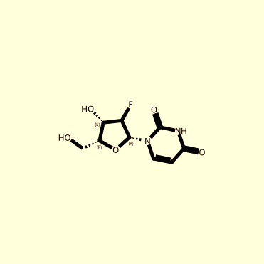 O=c1ccn([C@@H]2O[C@H](CO)[C@H](O)C2F)c(=O)[nH]1